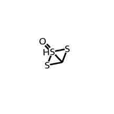 O=[SH]12SC1S2